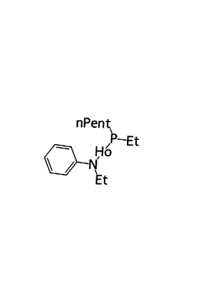 CCCCC[P](CC)[Ho][N](CC)c1ccccc1